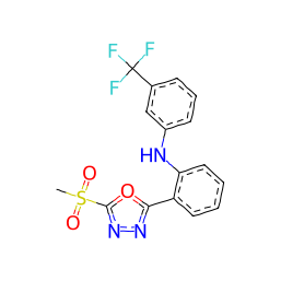 CS(=O)(=O)c1nnc(-c2ccccc2Nc2cccc(C(F)(F)F)c2)o1